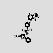 Cn1c(=O)[nH]c2nccc(Oc3cccc(NC(=O)Nc4cc(C(C)(C)C)nn4-c4ccccc4)c3)c21